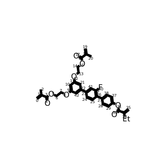 C=C(C)C(=O)OCCOc1cc(OCCOC(=O)C(=C)C)cc(-c2ccc(-c3ccc(OC(=O)C(=C)CC)cc3)c(F)c2)c1